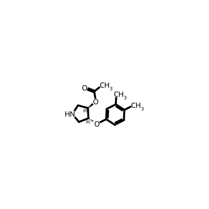 CC(=O)O[C@@H]1CNC[C@H]1Oc1ccc(C)c(C)c1